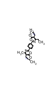 C=C/C=C\c1c(C)nc(-c2ccc(-c3nc(C=C)c(/C=C\C)c(=O)o3)cc2)oc1=O